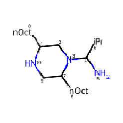 CCCCCCCCC1CN(C(N)C(C)C)C(CCCCCCCC)CN1